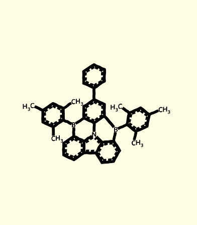 Cc1cc(C)c(B2c3cc(-c4ccccc4)cc4c3-n3c5c2cccc5c2cccc(c23)B4c2c(C)cc(C)cc2C)c(C)c1